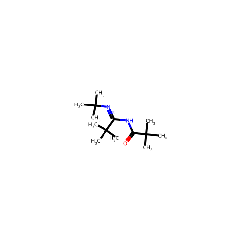 CC(C)(C)/N=C(/NC(=O)C(C)(C)C)C(C)(C)C